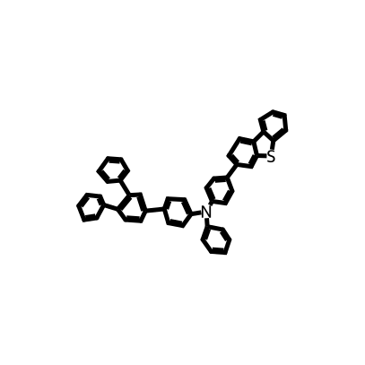 c1ccc(-c2ccc(-c3ccc(N(c4ccccc4)c4ccc(-c5ccc6c(c5)sc5ccccc56)cc4)cc3)cc2-c2ccccc2)cc1